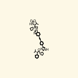 COC(=O)N[C@H](C(=O)N1CCC[C@H]1c1nc2cc(C#Cc3ccc(-c4c[nH]c([C@@H]5CCCN5C(=O)[C@@H](c5ccccc5)C(C)C)n4)cc3)ccc2[nH]1)C(C)C